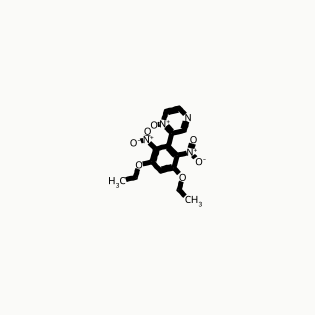 CCOc1cc(OCC)c([N+](=O)[O-])c(-c2cncc[n+]2[O-])c1[N+](=O)[O-]